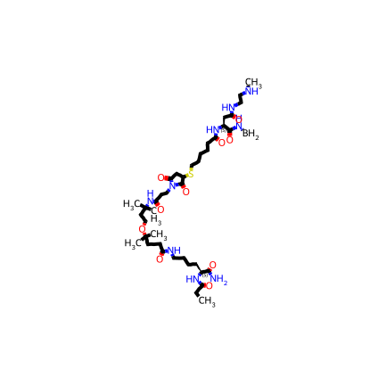 BNC(=O)[C@H](CC(=O)NCCNC)NC(=O)CCCCCSC1CC(=O)N(CCC(=O)NC(C)(C)CCOC(C)(C)CCC(=O)NCCCC[C@H](NC(=O)CC)C(N)=O)C1=O